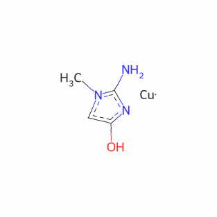 Cn1cc(O)nc1N.[Cu]